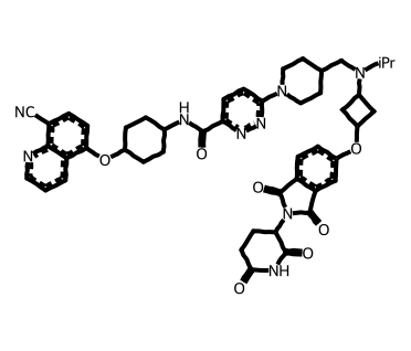 CC(C)N(CC1CCN(c2ccc(C(=O)NC3CCC(Oc4ccc(C#N)c5ncccc45)CC3)nn2)CC1)C1CC(Oc2ccc3c(c2)C(=O)N(C2CCC(=O)NC2=O)C3=O)C1